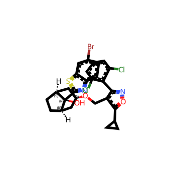 O[C@@]1(c2nc3ccc(Br)cc3s2)[C@@H]2CC[C@H]1C[C@@H](OCc1c(-c3c(Cl)cccc3Cl)noc1C1CC1)C2